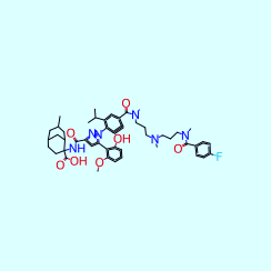 COc1cccc(O)c1-c1cc(C(=O)NC2(C(=O)O)CCC3CC(C)CC2C3)nn1-c1c#cc(C(=O)N(C)CCCN(C)CCCN(C)C(=O)c2ccc(F)cc2)cc1C(C)C